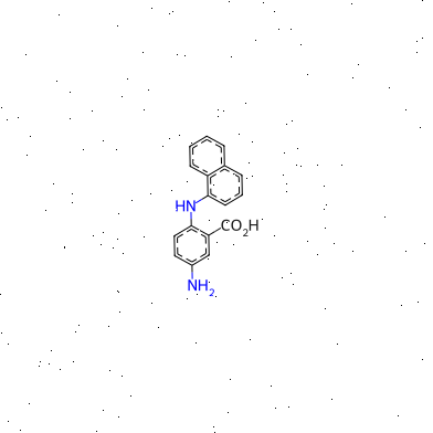 Nc1ccc(Nc2cccc3ccccc23)c(C(=O)O)c1